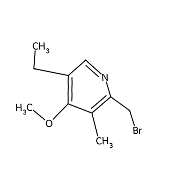 CCc1cnc(CBr)c(C)c1OC